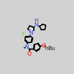 CCCCOc1ccc(C(=O)N(C)c2ccc(N3CCC(NC4CCCC4)C3)c(F)c2)cc1